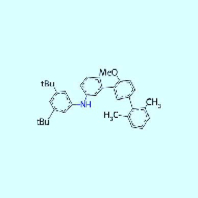 COc1ccc(-c2c(C)cccc2C)cc1-c1cccc(Nc2cc(C(C)(C)C)cc(C(C)(C)C)c2)c1